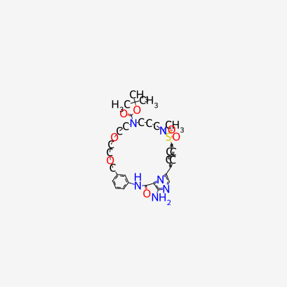 CN1CCCN(C(=O)OC(C)(C)C)CCOCCOCc2cccc(c2)NC(=O)c2nc(cnc2N)-c2ccc(cc2)S1(=O)=O